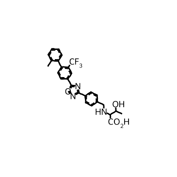 Cc1ccccc1-c1ccc(-c2nc(-c3ccc(CNC(C(=O)O)C(C)O)cc3)no2)cc1C(F)(F)F